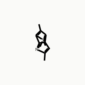 CC1=CC2=C3C(C)=C(C2=N1)[Si]3(C)C